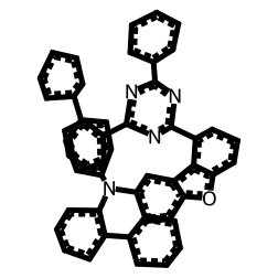 c1ccc(-c2ccc(N(c3ccc4oc5cccc(-c6nc(-c7ccccc7)nc(-c7ccccc7)n6)c5c4c3)c3ccccc3-c3ccccc3)cc2)cc1